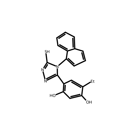 CCc1cc(-c2nnc(S)n2-c2cccc3ccccc23)c(O)cc1O